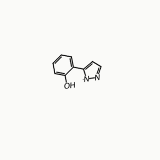 Oc1ccccc1C1=CC=N[N]1